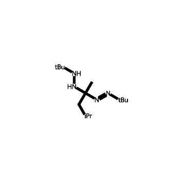 CC(C)CC(C)(N=NC(C)(C)C)NNC(C)(C)C